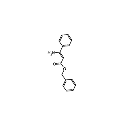 NC(=CC(=O)OCc1ccccc1)c1ccccc1